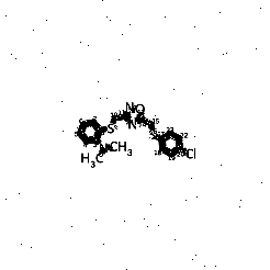 CN(C)c1ccccc1SCc1noc(CSc2ccc(Cl)cc2)n1